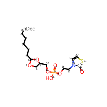 CCCCCCCCCCCCCCCC1OCC(COP(=O)(O)OCCn2ccs[c+]2[O-])O1